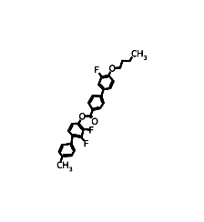 CCCCOc1ccc(-c2ccc(C(=O)Oc3ccc(-c4ccc(C)cc4)c(F)c3F)cc2)cc1F